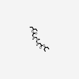 CCC(CC)OC(=O)CN(C)CN(C)CN(C)CC(=O)OC(CC)CC